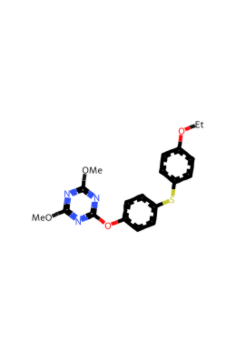 CCOc1ccc(Sc2ccc(Oc3nc(OC)nc(OC)n3)cc2)cc1